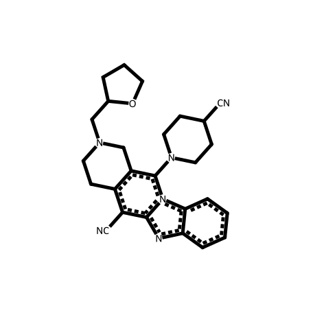 N#Cc1c2c(c(N3CCC(C#N)CC3)n3c1nc1ccccc13)CN(CC1CCCO1)CC2